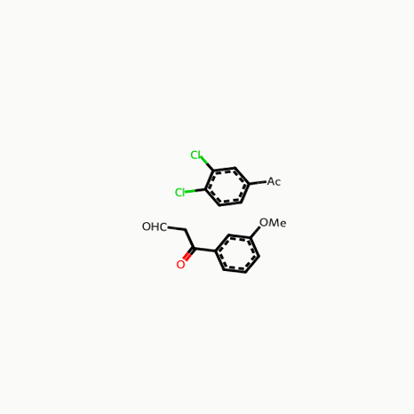 CC(=O)c1ccc(Cl)c(Cl)c1.COc1cccc(C(=O)CC=O)c1